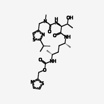 CC(C)c1nc(CN(C)C(=O)N[C@H](C(=O)N[C@H](C)CC[C@@H](C)NC(=O)OCc2nccs2)C(C)O)cs1